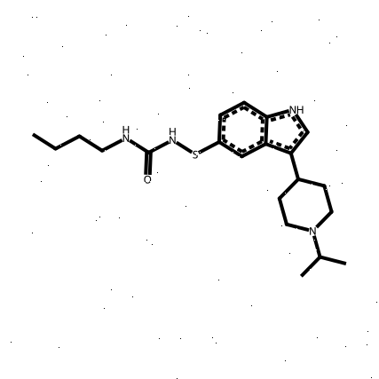 CCCCNC(=O)NSc1ccc2[nH]cc(C3CCN(C(C)C)CC3)c2c1